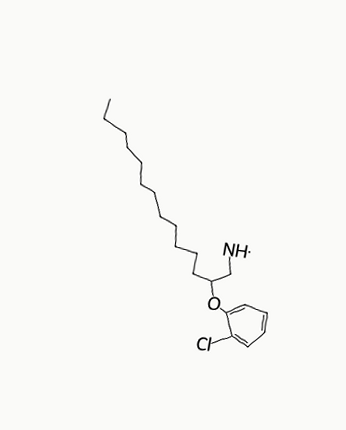 CCCCCCCCCCCCC(C[NH])Oc1ccccc1Cl